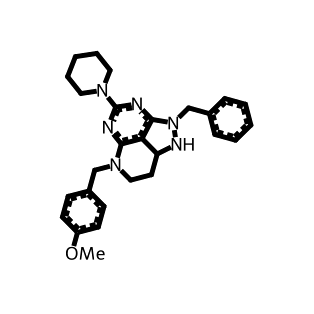 COc1ccc(CN2CCC3NN(Cc4ccccc4)c4nc(N5CCCCC5)nc2c43)cc1